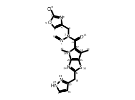 C=NN(Cc1coc(Cl)n1)C(=O)c1c(C)c2sc(Cc3cc[nH]n3)nc2n1C